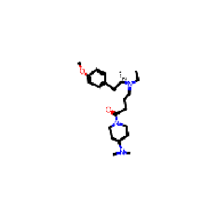 CCN(CCCC(=O)N1CCC(N(C)C)CC1)[C@@H](C)Cc1ccc(OC)cc1